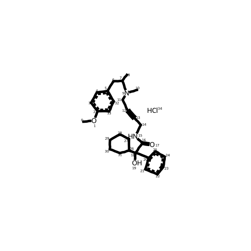 COc1ccc(CC(C)N(C)CC#CCNC(=O)C(O)(c2ccccc2)C2CCCCC2)cc1.Cl